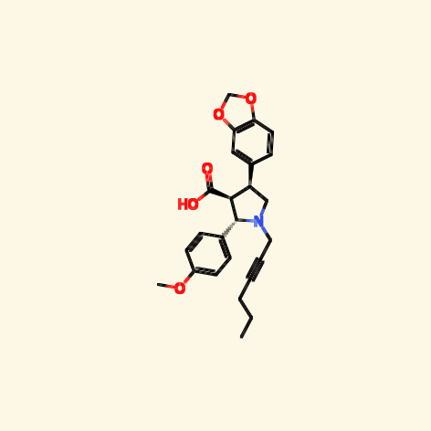 CCCC#CCN1C[C@H](c2ccc3c(c2)OCO3)[C@H](C(=O)O)[C@H]1c1ccc(OC)cc1